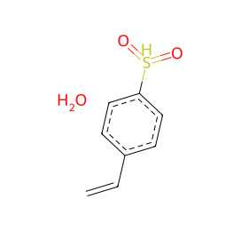 C=Cc1ccc([SH](=O)=O)cc1.O